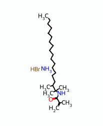 Br.C=C(C)C(=O)NC(C)(C)C(C)CCCCCCCCCCCCCCCC.N